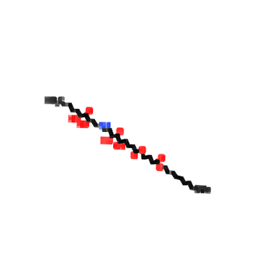 CSCCCCCCCCOC(=O)CCCOC(=O)CCCC(O)C(=O)C(O)CCNCCC(O)C(=O)C(O)CCCCC(=O)O